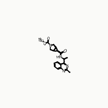 Cc1nc(C(C)NC(=O)C2C3CN(C(=O)OC(C)(C)C)CC32)c2ccccc2n1